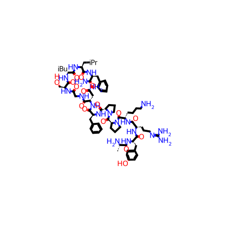 CC[C@H](C)[C@H](NC(=O)[C@H](CO)NC(=O)CNC(=O)[C@H](CC(N)=O)NC(=O)[C@H](Cc1ccccc1)NC(=O)[C@@H]1CCCN1C(=O)[C@@H]1CCCN1C(=O)[C@H](CCCCN)NC(=O)[C@H](CCCN=C(N)N)NC(=O)[C@H](Cc1ccc(O)cc1)NC(=O)[C@H](C)N)C(=O)N[C@@H](CC(C)C)C(=O)N[C@@H](Cc1ccccc1)C(N)=O